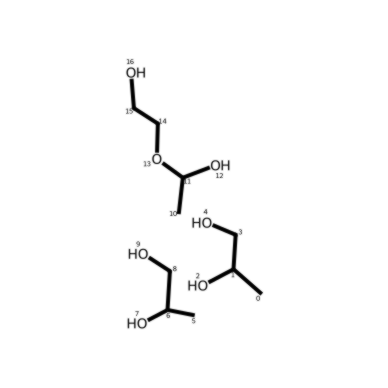 CC(O)CO.CC(O)CO.CC(O)OCCO